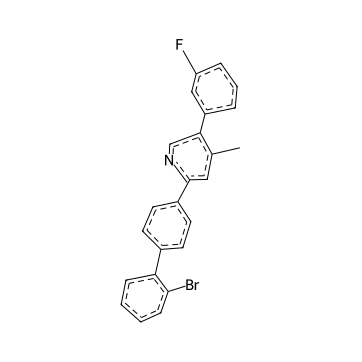 Cc1cc(-c2ccc(-c3ccccc3Br)cc2)ncc1-c1cccc(F)c1